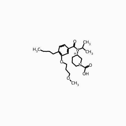 CCCCc1ccc(C(=O)N(C(C)C)[C@@H]2CCCN(C(=O)O)C2)cc1OCCCOC